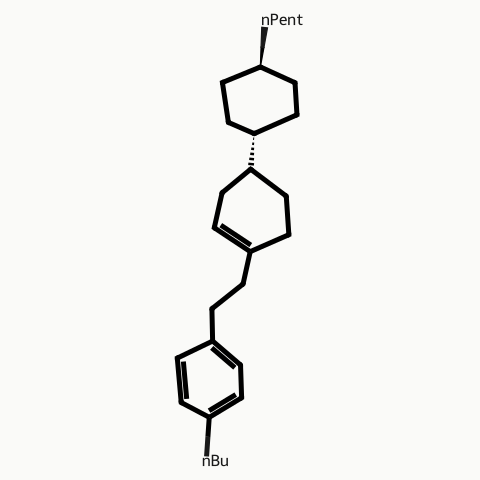 CCCCC[C@H]1CC[C@H](C2CC=C(CCc3ccc(CCCC)cc3)CC2)CC1